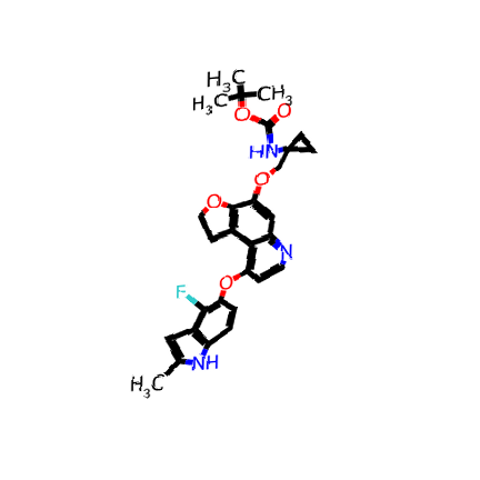 Cc1cc2c(F)c(Oc3ccnc4cc(OCC5(NC(=O)OC(C)(C)C)CC5)c5c(c34)CCO5)ccc2[nH]1